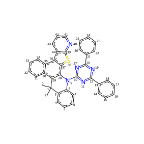 CC1(C)c2ccccc2N(c2nc(-c3ccccc3)nc(-c3ccccc3)n2)c2c1c1ccccc1c1c2sc2ncccc21